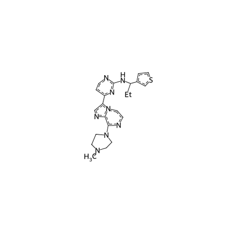 [CH2]CC(Nc1nccc(-c2cnc3c(N4CCN(C)CC4)nccn23)n1)c1ccsc1